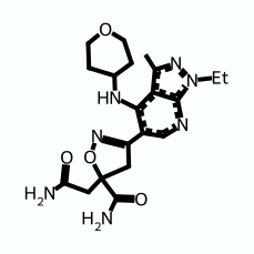 CCn1nc(C)c2c(NC3CCOCC3)c(C3=NOC(CC(N)=O)(C(N)=O)C3)cnc21